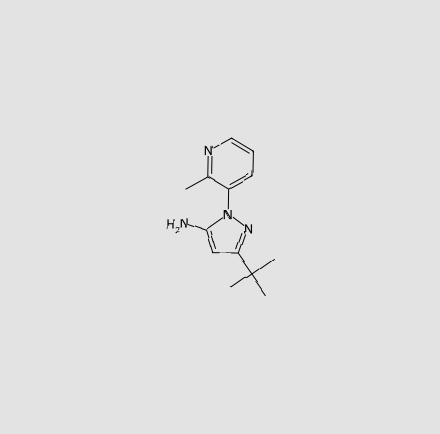 Cc1ncccc1-n1nc(C(C)(C)C)cc1N